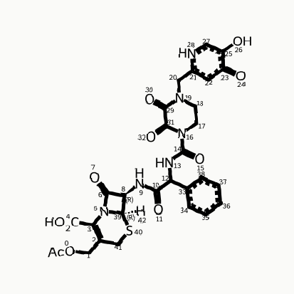 CC(=O)OCC1=C(C(=O)O)N2C(=O)[C@@H](NC(=O)C(NC(=O)N3CCN(Cc4cc(=O)c(O)c[nH]4)C(=O)C3=O)c3ccccc3)[C@H]2SC1